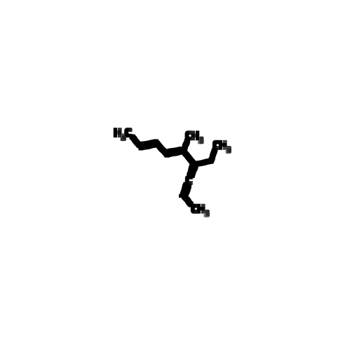 C[C]=C=C(CC)C(C)=CC=CC